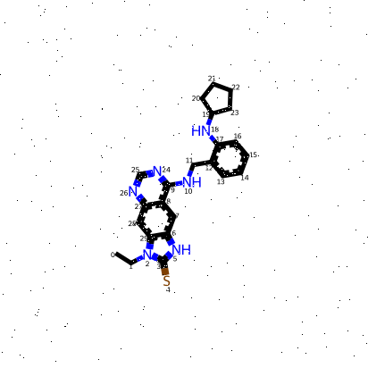 CCn1c(=S)[nH]c2cc3c(NCc4ccccc4NC4CCCC4)ncnc3cc21